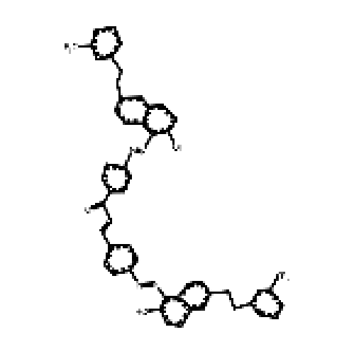 O=C(C=Cc1ccc(N=Nc2c(O)ccc3cc(CCc4cccc(C(F)(F)F)c4)ccc23)cc1)c1ccc(N=Nc2c(O)ccc3cc(CCc4cccc(C(F)(F)F)c4)ccc23)cc1